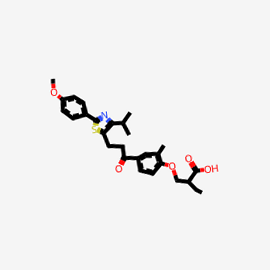 CCC(COc1ccc(C(=O)CCc2sc(-c3ccc(OC)cc3)nc2C(C)C)cc1C)C(=O)O